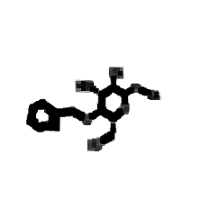 CCO[C@H]1O[C@H](CO)[C@@H](OCc2ccccc2)[C@H](O)[C@H]1O